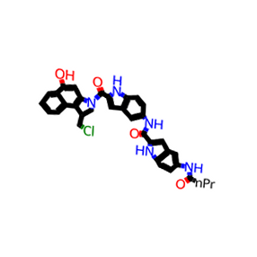 CCCC(=O)Nc1ccc2[nH]c(C(=O)Nc3ccc4[nH]c(C(=O)N5CC(CCl)c6c5cc(O)c5ccccc65)cc4c3)cc2c1